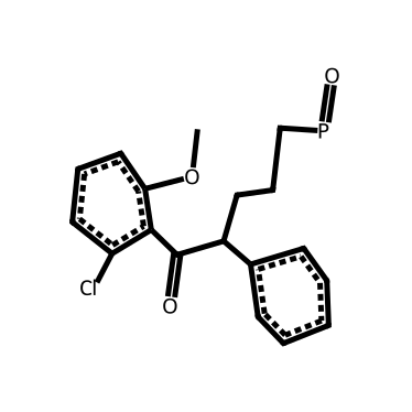 COc1cccc(Cl)c1C(=O)C(CCCP=O)c1ccccc1